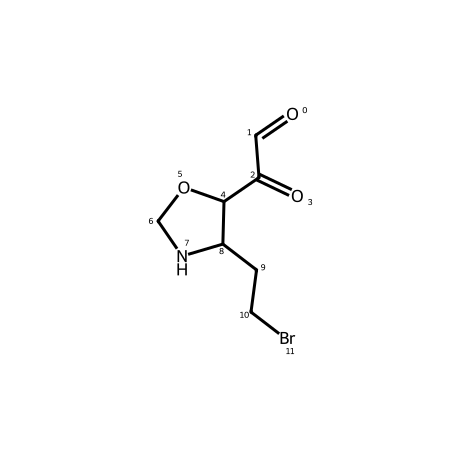 O=CC(=O)C1OCNC1CCBr